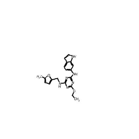 CCOc1nc(NCc2ccc(C)o2)nc(Nc2ccc3cc[nH]c3c2)n1